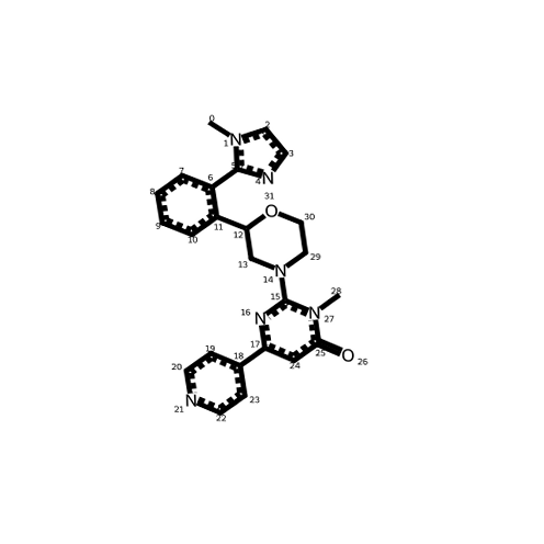 Cn1ccnc1-c1ccccc1C1CN(c2nc(-c3ccncc3)cc(=O)n2C)CCO1